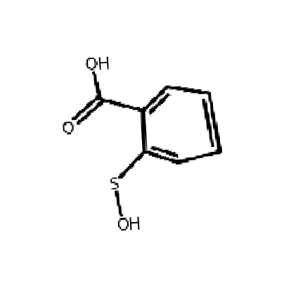 O=C(O)c1ccccc1SO